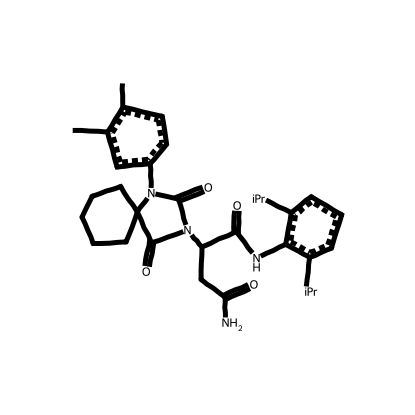 Cc1ccc(N2C(=O)N(C(CC(N)=O)C(=O)Nc3c(C(C)C)cccc3C(C)C)C(=O)C23CCCCC3)cc1C